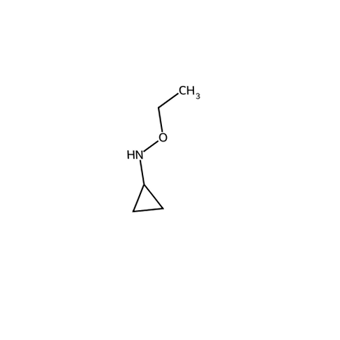 CCONC1CC1